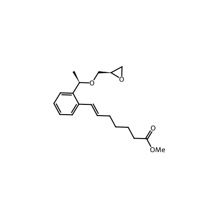 COC(=O)CCCC/C=C/c1ccccc1[C@@H](C)OC[C@H]1CO1